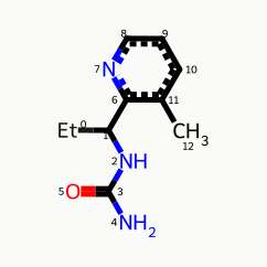 CCC(NC(N)=O)c1ncccc1C